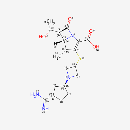 C[C@@H](O)[C@H]1C(=O)N2C(C(=O)O)=C(SC3CN([C@H]4CC[C@H](C(=N)N)C4)C3)[C@H](C)[C@H]12